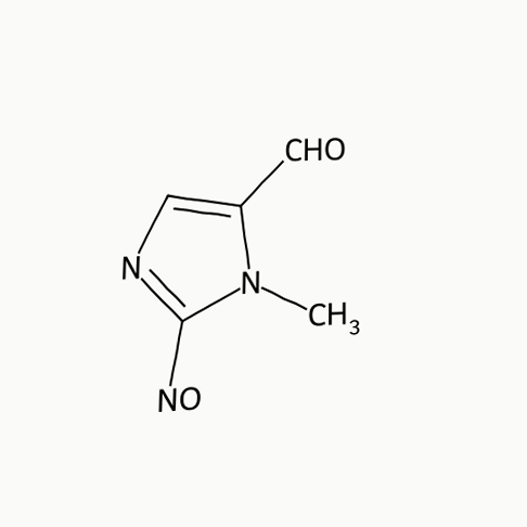 Cn1c(C=O)cnc1N=O